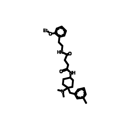 CCOc1ccccc1CCNC(=O)CCC(=O)NC1CCC(Cc2cccc(C)c2)(N(C)C)CC1